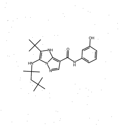 CC(C)(C)CC(C)(C)Nc1c(C(C)(C)C)[nH]c2c(C(=O)Nc3cccc(O)c3)cnn12